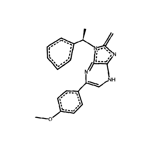 C=c1nc2c(n1[C@H](C)c1ccccc1)=NC(c1ccc(OC)cc1)=CN2